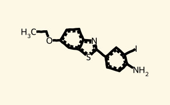 CCOc1ccc2nc(-c3ccc(N)c(I)c3)sc2c1